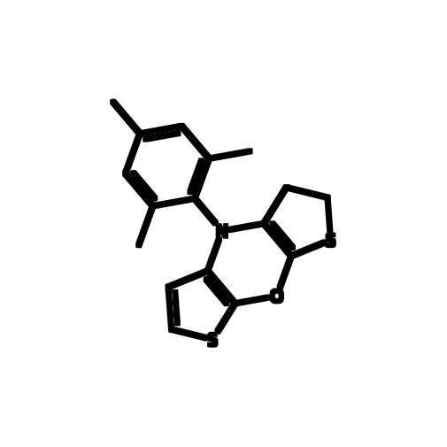 Cc1cc(C)c(N2C3=C(Oc4sccc42)SCC3)c(C)c1